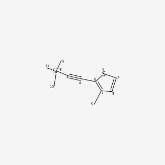 Cc1ccsc1C#C[Si](C)(C)C